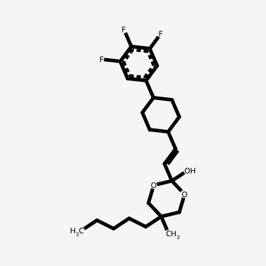 CCCCCC1(C)COC(O)(/C=C/C2CCC(c3cc(F)c(F)c(F)c3)CC2)OC1